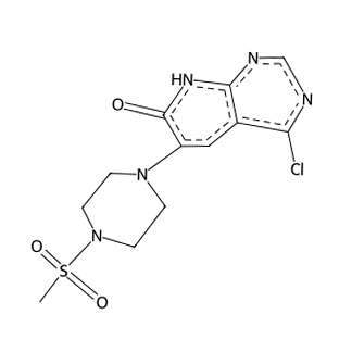 CS(=O)(=O)N1CCN(c2cc3c(Cl)ncnc3[nH]c2=O)CC1